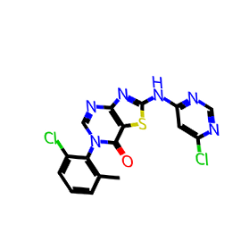 Cc1cccc(Cl)c1-n1cnc2nc(Nc3cc(Cl)ncn3)sc2c1=O